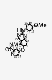 CNC(=O)c1cc(Oc2ccc3nc(Nc4ccc(OC)cc4)ncc3c2)ccn1